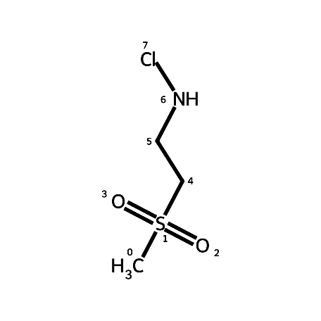 CS(=O)(=O)CCNCl